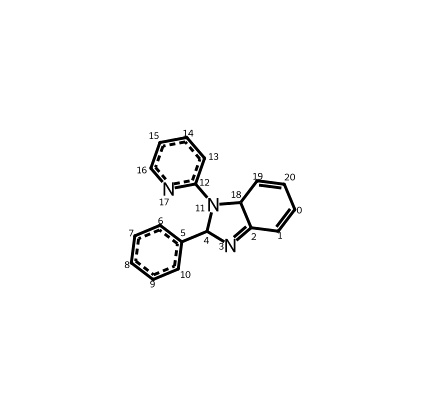 C1=CC2=NC(c3ccccc3)N(c3ccccn3)C2C=C1